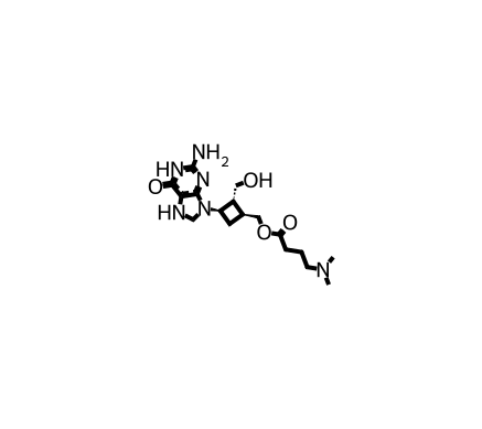 CN(C)CCCC(=O)OC[C@H]1C[C@@H](N2CNc3c2nc(N)[nH]c3=O)[C@@H]1CO